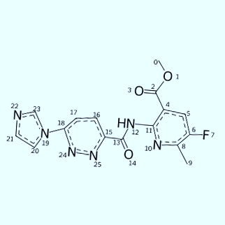 COC(=O)c1cc(F)c(C)nc1NC(=O)c1ccc(-n2ccnc2)nn1